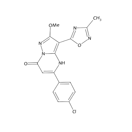 COc1nn2c(=O)cc(-c3ccc(Cl)cc3)[nH]c2c1-c1nc(C)no1